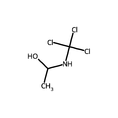 CC(O)NC(Cl)(Cl)Cl